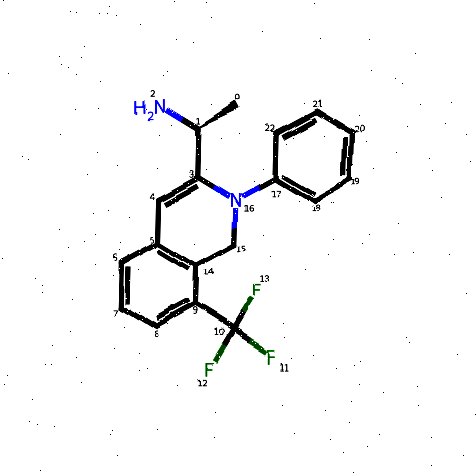 C[C@H](N)C1=Cc2cccc(C(F)(F)F)c2CN1c1ccccc1